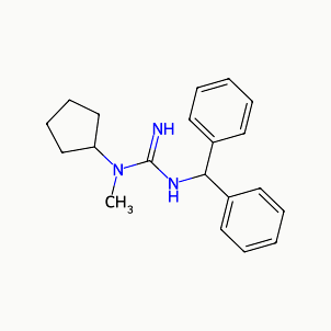 CN(C(=N)NC(c1ccccc1)c1ccccc1)C1CCCC1